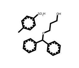 Cc1ccc(S(=O)(=O)O)cc1.OCCCOC(c1ccccc1)c1ccccc1